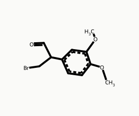 COc1ccc(C(C=O)CBr)cc1OC